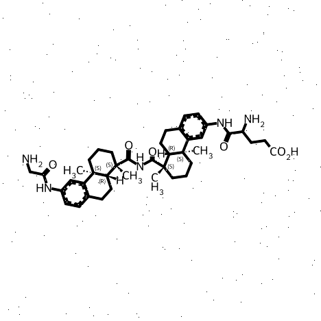 C[C@]1(C(=O)NC(=O)[C@@]2(C)CCC[C@]3(C)c4cc(NC(=O)C(N)CCC(=O)O)ccc4CC[C@@H]23)CCC[C@]2(C)c3cc(NC(=O)CN)ccc3CC[C@@H]12